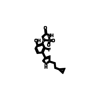 O=C1CN(c2c(O)ccc(C3=CC(CCC4CC4)NC3)c2F)S(=O)(=O)N1